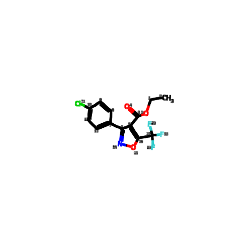 CCOC(=O)c1c(-c2ccc(Cl)cc2)noc1C(F)(F)F